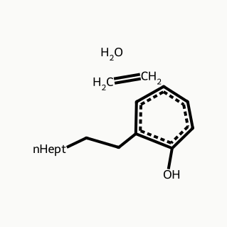 C=C.CCCCCCCCCc1ccccc1O.O